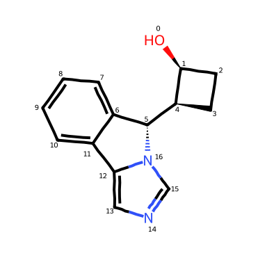 O[C@H]1CC[C@H]1[C@H]1c2ccccc2-c2cncn21